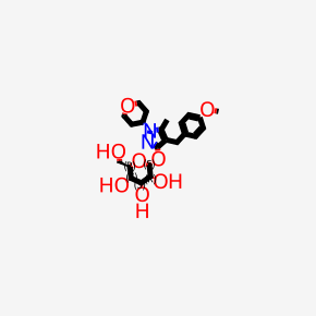 COc1ccc(Cc2c(O[C@@H]3O[C@H](CO)[C@@H](O)[C@H](O)[C@H]3O)nn(C3CCOCC3)c2C)cc1